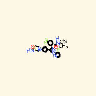 C[C@@H](C#N)NC(=O)[C@@H]1CCC(F)(F)C[C@H]1c1nn(-c2ncccc2F)cc1-c1ccc(N2CCS(=N)(=O)CC2)cc1